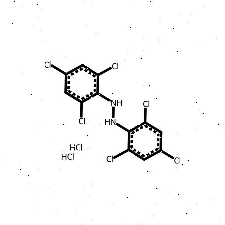 Cl.Cl.Clc1cc(Cl)c(NNc2c(Cl)cc(Cl)cc2Cl)c(Cl)c1